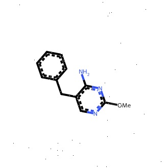 COc1ncc(Cc2ccccc2)c(N)n1